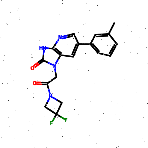 Cc1cccc(-c2cnc3[nH]c(=O)n(CC(=O)N4CC(F)(F)C4)c3c2)c1